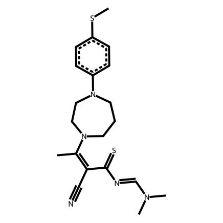 CSc1ccc(N2CCCN(C(C)=C(C#N)C(=S)N=CN(C)C)CC2)cc1